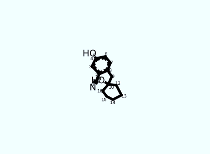 N#Cc1cc(O)ccc1CC1(O)CCCCC1